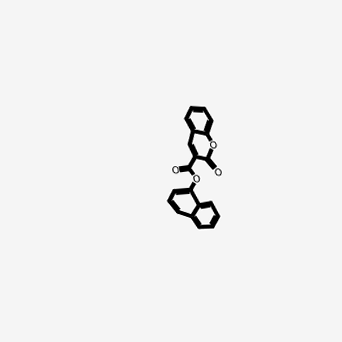 O=C(Oc1cccc2ccccc12)c1cc2ccccc2oc1=O